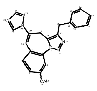 COc1ccc2c(c1)-n1nnc(Cc3ccccc3)c1CC(n1cncn1)=N2